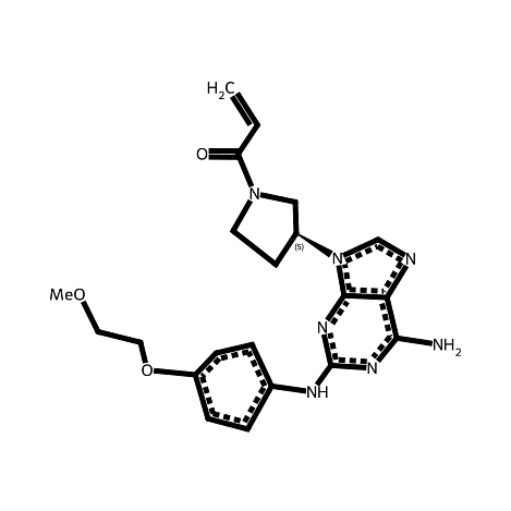 C=CC(=O)N1CC[C@H](n2cnc3c(N)nc(Nc4ccc(OCCOC)cc4)nc32)C1